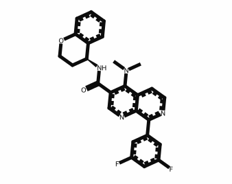 CN(C)c1c(C(=O)N[C@H]2CCOc3ccccc32)cnc2c(-c3cc(F)cc(F)c3)nccc12